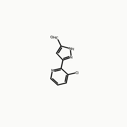 O=Cc1cc(-c2ncccc2Cl)n[nH]1